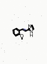 COc1ccccc1/C=C/c1ncc[nH]1